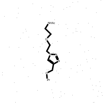 CC(=O)NCCOCCn1cc(COC(C)C)nn1